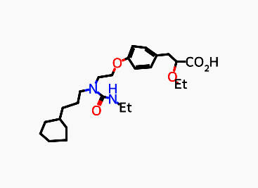 CCNC(=O)N(CCCC1CCCCC1)CCOc1ccc(CC(OCC)C(=O)O)cc1